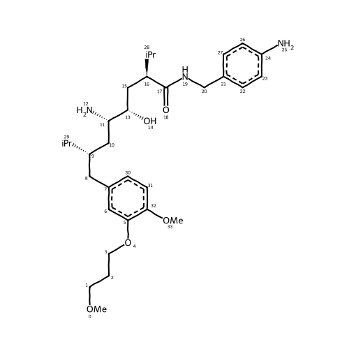 COCCCOc1cc(C[C@@H](C[C@H](N)[C@@H](O)C[C@H](C(=O)NCc2ccc(N)cc2)C(C)C)C(C)C)ccc1OC